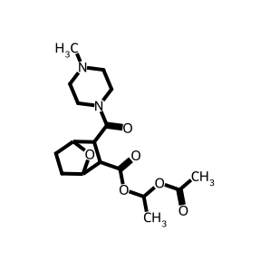 CC(=O)OC(C)OC(=O)C1C2CCC(O2)C1C(=O)N1CCN(C)CC1